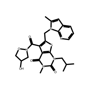 Cc1cc2cccnc2n1Cc1sc2c(c1C(=O)N1CC(O)CO1)c(=O)n(C)c(=O)n2CC(C)C